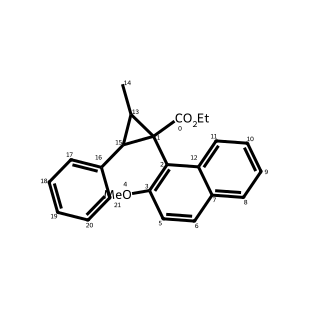 CCOC(=O)C1(c2c(OC)ccc3ccccc23)C(C)C1c1ccccc1